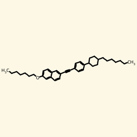 CCCCCCCOc1ccc2cc(C#Cc3ccc(C4CCC(CCCCCCC)CC4)cc3)ccc2c1